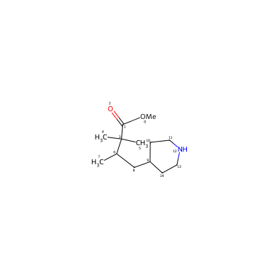 COC(=O)C(C)(C)C(C)CC1CCNCC1